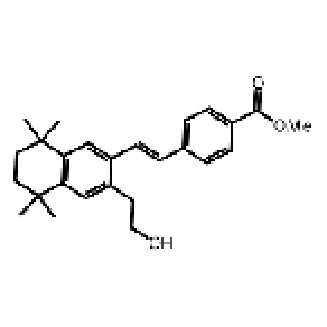 COC(=O)c1ccc(C=Cc2cc3c(cc2CCO)C(C)(C)CCC3(C)C)cc1